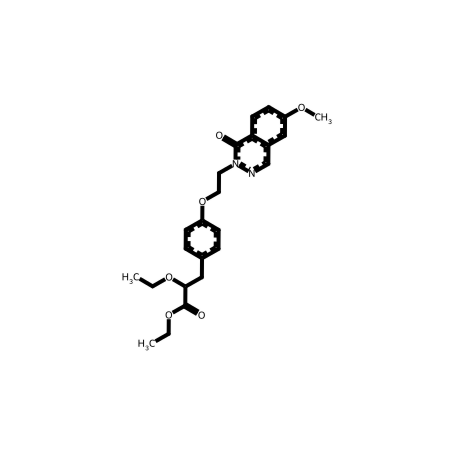 CCOC(=O)C(Cc1ccc(OCCn2ncc3cc(OC)ccc3c2=O)cc1)OCC